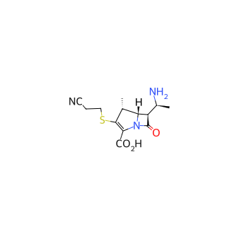 C[C@H](N)[C@H]1C(=O)N2C(C(=O)O)=C(SCCC#N)[C@H](C)[C@H]12